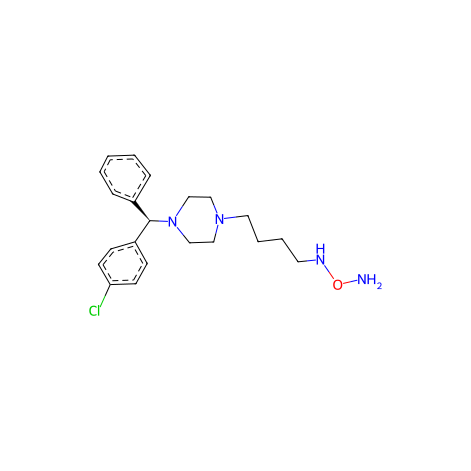 NONCCCCN1CCN([C@H](c2ccccc2)c2ccc(Cl)cc2)CC1